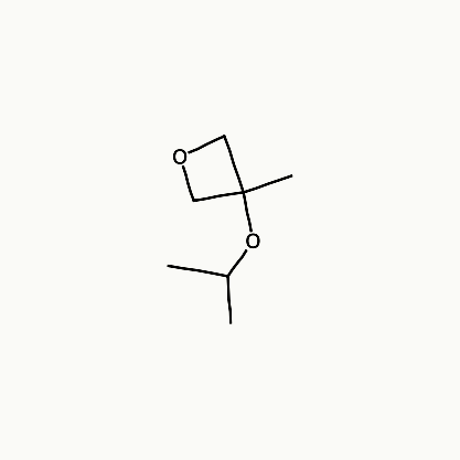 CC(C)OC1(C)COC1